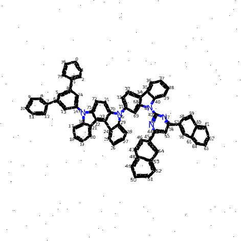 c1ccc(-c2cc(-c3ccccc3)cc(-n3c4ccccc4c4c5c6ccccc6n(-c6ccc7c8ccccc8n(-c8nc(-c9ccc%10ccccc%10c9)cc(-c9ccc%10ccccc%10c9)n8)c7c6)c5ccc43)c2)cc1